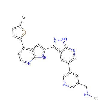 CCNCc1cncc(-c2cnc3[nH]nc(-c4cc5c(-c6ccc(C(C)=O)s6)ccnc5[nH]4)c3c2)c1